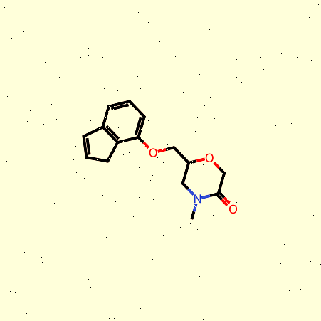 CN1CC(COc2cccc3c2CC=C3)OCC1=O